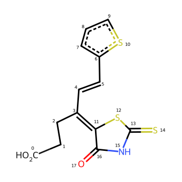 O=C(O)CCC(C=Cc1cccs1)=C1SC(=S)NC1=O